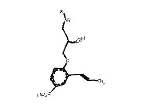 CC=Cc1cc(C(=O)O)ccc1OCC(O)CNC(C)C